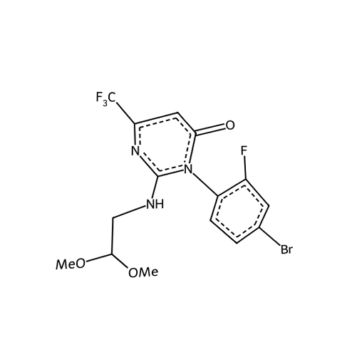 COC(CNc1nc(C(F)(F)F)cc(=O)n1-c1ccc(Br)cc1F)OC